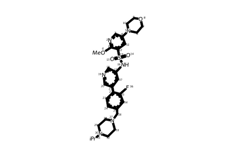 COc1ncc(N2CCOCC2)cc1S(=O)(=O)Nc1cncc(-c2ccc(CN3CCN(C(C)C)CC3)cc2F)c1